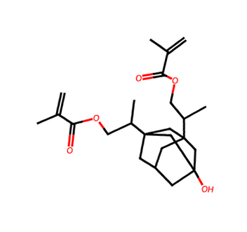 C=C(C)C(=O)OCC(C)C12CC3CC(O)(C1)CC(C(C)COC(=O)C(=C)C)(C3)C2